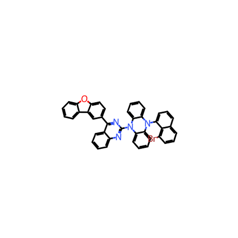 Brc1cccc2cccc(N3c4ccccc4N(c4nc(-c5ccc6oc7ccccc7c6c5)c5ccccc5n4)c4ccccc43)c12